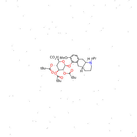 CCCN1CCC[C@@H]2Cc3c(ccc(OC)c3O[C@@H]3O[C@H](C(=O)O)[C@@H](OC(=O)C(C)(C)C)[C@H](OC(=O)C(C)(C)C)[C@H]3OC(=O)C(C)(C)C)C[C@H]21